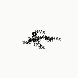 COc1ccc(C[C@@H]2[C@H](OC(=O)NCCN3CC(O)(CNC(C)=O)C3)[C@@H](OC(=O)OC(C)(C)C)CN2C(=O)OC(C)(C)C)cc1